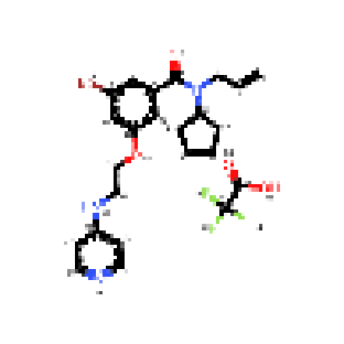 C=CCN(C(=O)c1cc(Br)cc(OCCNc2ccncc2)c1)C1CCCC1.O=C(O)C(F)(F)F